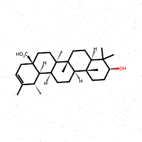 CC1=CC[C@]2(C(=O)O)CC[C@]3(C)[C@@H](CC[C@@H]4[C@@]5(C)CC[C@H](O)C(C)(C)[C@@H]5CC[C@]43C)[C@H]2[C@@H]1C